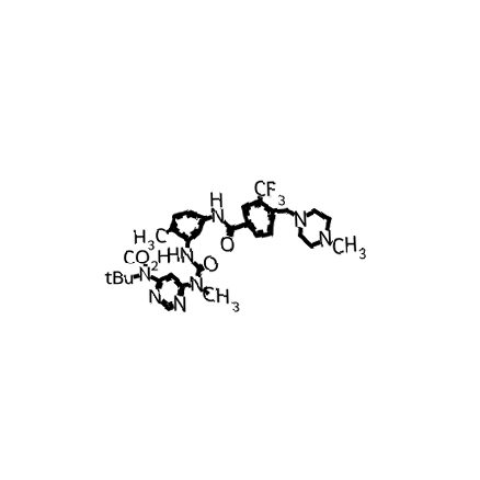 Cc1ccc(NC(=O)c2ccc(CN3CCN(C)CC3)c(C(F)(F)F)c2)cc1NC(=O)N(C)c1cc(N(C(=O)O)C(C)(C)C)ncn1